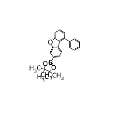 CC1(C)OB(c2ccc3c(c2)oc2cccc(-c4ccccc4)c23)OC1(C)C